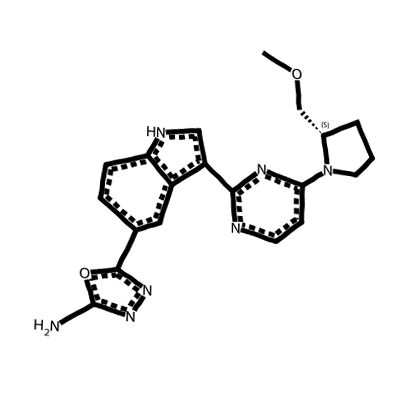 COC[C@@H]1CCCN1c1ccnc(-c2c[nH]c3ccc(-c4nnc(N)o4)cc23)n1